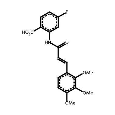 COc1ccc(/C=C/C(=O)Nc2cc(F)ccc2C(=O)O)c(OC)c1OC